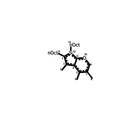 CCCCCCCCc1c(C)c2c(C)c(C)coc-2[si]1CCCCCCCC